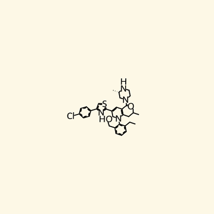 CCc1cccc(CC)c1N1C(CC(C)C)=C(C(=O)N2CCN[C@@H](C)C2)C=C(c2nc(-c3ccc(Cl)cc3)cs2)C1O